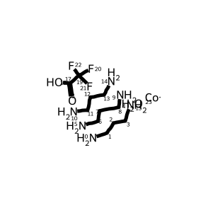 NCCCN.NCCCN.NCCCN.O.O=C(O)C(F)(F)F.[Co]